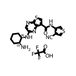 N#Cc1cscc1NC(=O)c1csc2ncc(N[C@@H]3CCCC[C@@H]3N)nc12.O=C(O)C(F)(F)F